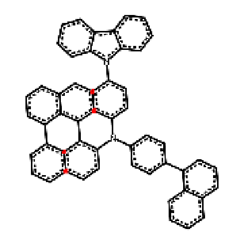 c1ccc(-c2cccc3cccc(-c4ccccc4N(c4ccc(-c5cccc6ccccc56)cc4)c4ccc(-n5c6ccccc6c6ccccc65)cc4)c23)cc1